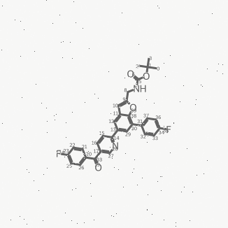 CC(C)(C)OC(=O)NCc1cc2cc(-c3ccc(C(=O)c4ccc(F)cc4)cn3)cc(-c3ccc(F)cc3)c2o1